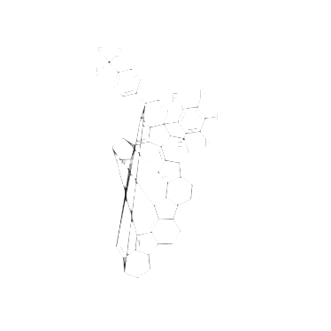 Fc1c(F)c(F)c(C23C=CC4(c5ccc(C(F)(F)F)cc5)c5c2c2c6c7c8c9c%10c%11c%12c%13c%14c%15c(c5c5c%14c%11c8c25)C4CCC%15C%13CCC%12C%10CCC9C7CCC63)c(F)c1F